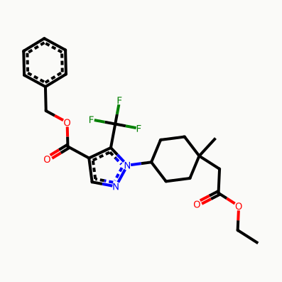 CCOC(=O)CC1(C)CCC(n2ncc(C(=O)OCc3ccccc3)c2C(F)(F)F)CC1